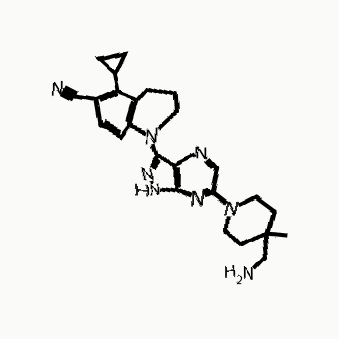 CC1(CN)CCN(c2cnc3c(N4CCCc5c4ccc(C#N)c5C4CC4)n[nH]c3n2)CC1